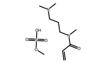 C=CC(=O)N(C)CCCN(C)C.COS(=O)(=O)O